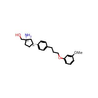 COc1cccc(OCCCc2ccc([C@@H]3CC[C@@](N)(CO)C3)cc2)c1